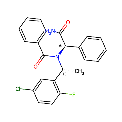 C[C@H](c1cc(Cl)ccc1F)N(C(=O)c1ccccc1)[C@@H](C(N)=O)c1ccccc1